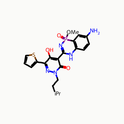 COP1(=O)N=C(c2c(O)c(-c3cccs3)nn(CCC(C)C)c2=O)Nc2ccc(N)cc21